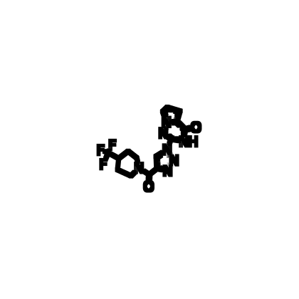 O=C(c1cn(-c2nn3cccc3c(=O)[nH]2)nn1)N1CCC(C(F)(F)F)CC1